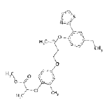 CCc1ccc(O[C@@H](C)CCOc2ccc(OC(C)C(=O)OC)c(C)c2)c(-c2nccs2)c1